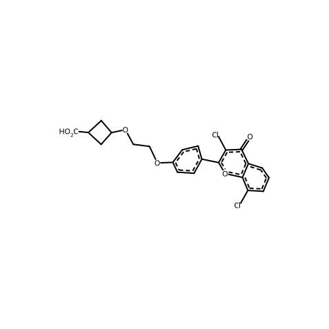 O=C(O)C1CC(OCCOc2ccc(-c3oc4c(Cl)cccc4c(=O)c3Cl)cc2)C1